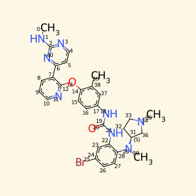 CNc1nccc(-c2cccnc2Oc2ccc(NC(=O)Nc3cc(Br)ccc3N(C)[C@H]3CCN(C)C3)cc2C)n1